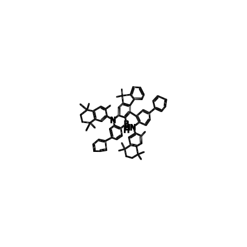 Cc1cc2c(cc1Nc1ccc(-c3ccccc3)cc1-c1c3c(cc4c1-c1ccccc1C4(C)C)N(c1cc4c(cc1C)C(C)(C)CCC4(C)C)c1cc(-c4ccccc4)ccc1B3)C(C)(C)CCC2(C)C